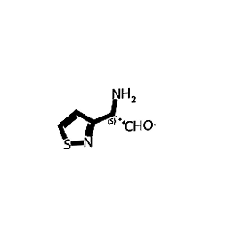 N[C@H]([C]=O)c1ccsn1